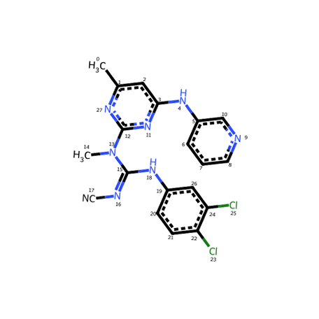 Cc1cc(Nc2cccnc2)nc(N(C)/C(=N\C#N)Nc2ccc(Cl)c(Cl)c2)n1